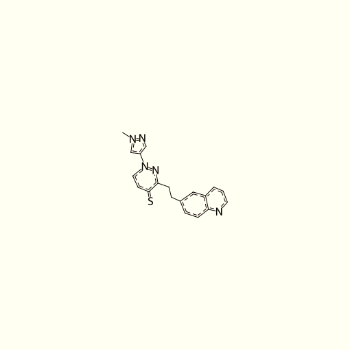 Cn1cc(-n2ccc(=S)c(CCc3ccc4ncccc4c3)n2)cn1